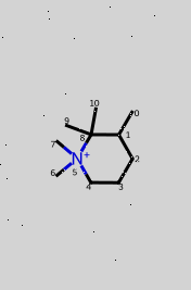 CC1CCC[N+](C)(C)C1(C)C